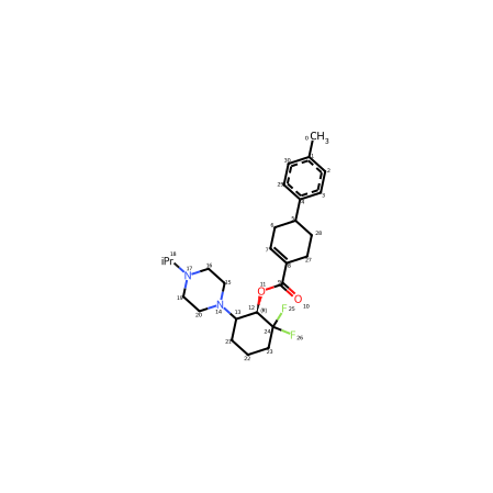 Cc1ccc(C2CC=C(C(=O)O[C@@H]3C(N4CCN(C(C)C)CC4)CCCC3(F)F)CC2)cc1